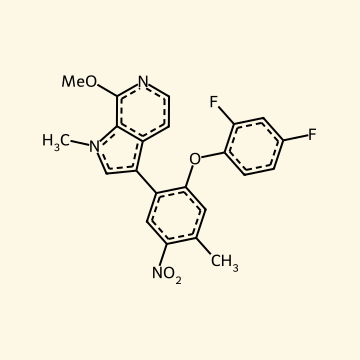 COc1nccc2c(-c3cc([N+](=O)[O-])c(C)cc3Oc3ccc(F)cc3F)cn(C)c12